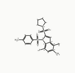 Cc1ccc(S(=O)(=O)n2c(S(=O)(=O)N3CCCC3)cc3c(Br)c(C)cc(F)c32)cc1